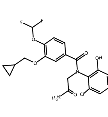 NC(=O)CN(C(=O)c1ccc(OC(F)F)c(OCC2CC2)c1)c1c(O)cncc1Cl